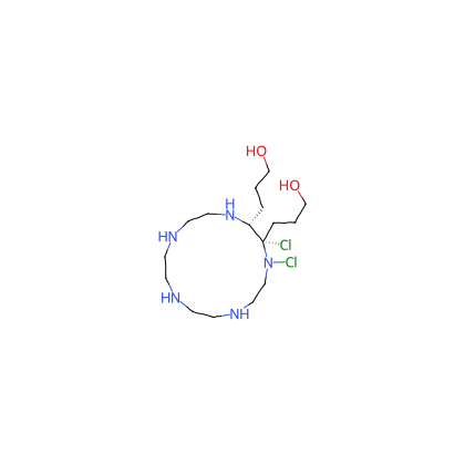 OCCC[C@H]1NCCNCCNCCNCCN(Cl)[C@]1(Cl)CCCO